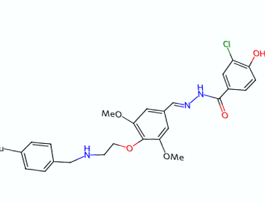 COc1cc(/C=N/NC(=O)c2ccc(O)c(Cl)c2)cc(OC)c1OCCNCc1ccc(C(C)(C)C)cc1